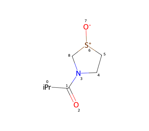 CC(C)C(=O)N1CC[S+]([O-])C1